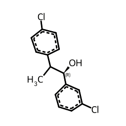 CC(c1ccc(Cl)cc1)[C@@H](O)c1cccc(Cl)c1